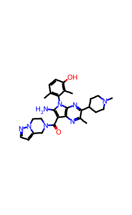 Cc1ccc(O)c(C)c1-n1c(N)c(C(=O)N2CCn3nccc3C2)c2nc(C)c(C3CCN(C)CC3)nc21